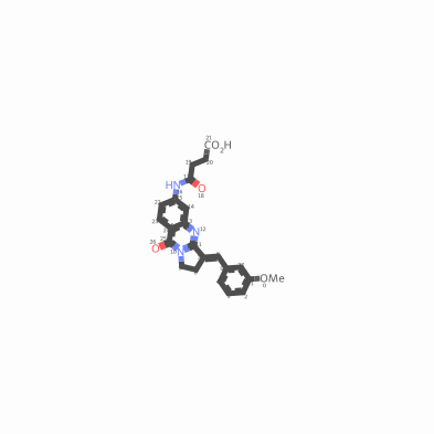 COc1cccc(C=C2CCn3c2nc2cc(NC(=O)CCC(=O)O)ccc2c3=O)c1